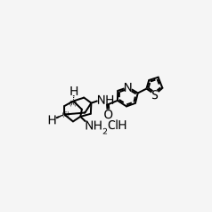 Cl.NC12C[C@H]3C[C@@H](C1)CC(NC(=O)c1ccc(-c4cccs4)nc1)(C3)C2